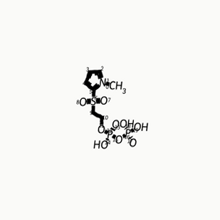 Cn1cccc1S(=O)(=O)CCOP(=O)(O)OP(=O)(O)O